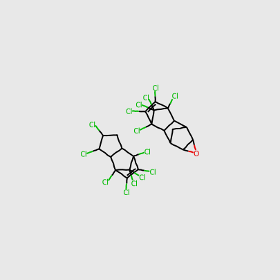 ClC1=C(Cl)C2(Cl)C3C(Cl)C(Cl)CC3C1(Cl)C2(Cl)Cl.ClC1=C(Cl)C2(Cl)C3C4CC(C5OC45)C3C1(Cl)C2(Cl)Cl